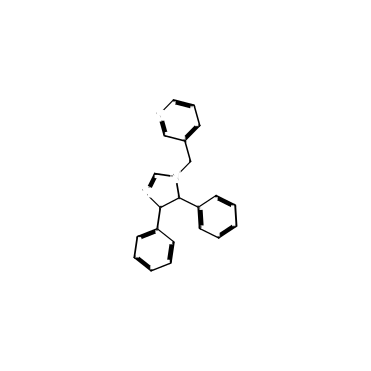 C1=NC(c2ccccc2)C(c2ccccc2)N1Cc1cccnc1